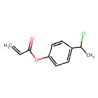 C=CC(=O)Oc1ccc(C(C)Cl)cc1